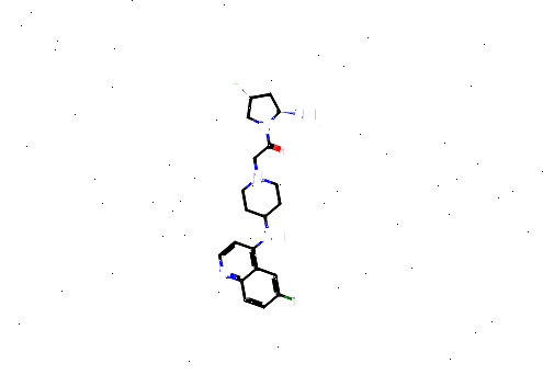 N[C@@H]1C[C@H](F)CN1C(=O)CN1CCC(Nc2ccnc3ccc(F)cc23)CC1